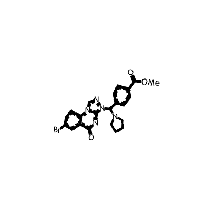 COC(=O)c1ccc(C(N2CCCC2)n2ncn3c4ccc(Br)cc4c(=O)nc23)cc1